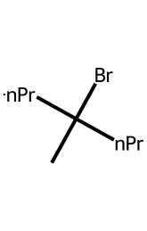 CC[CH]C(C)(Br)CCC